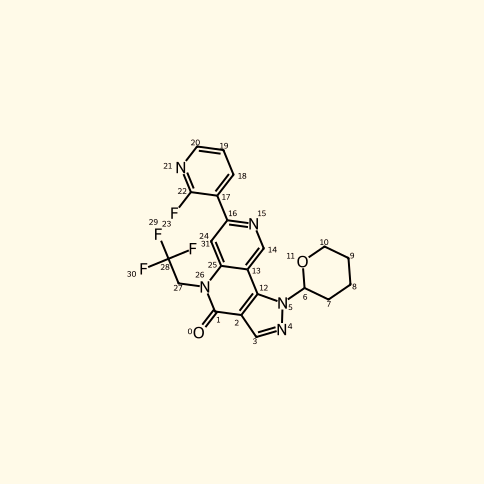 O=c1c2cnn(C3CCCCO3)c2c2cnc(-c3cccnc3F)cc2n1CC(F)(F)F